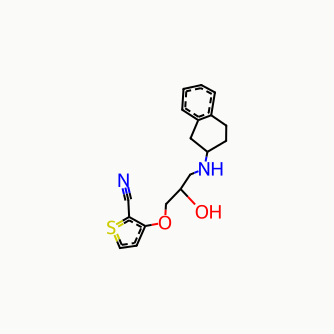 N#Cc1sccc1OCC(O)CNC1CCc2ccccc2C1